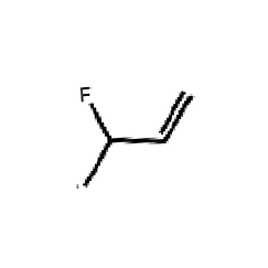 [CH2]C(F)C=C